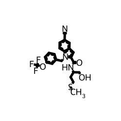 CSCCC(CO)NC(=O)c1cc2cc(C#N)ccc2n1Cc1cccc(OC(F)(F)F)c1